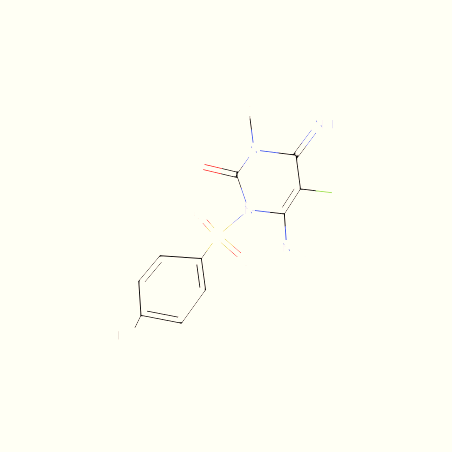 Cc1ccc(S(=O)(=O)n2c(N)c(F)c(=N)n(C)c2=O)cc1